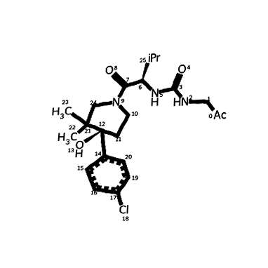 CC(=O)CNC(=O)N[C@@H](C(=O)N1CC[C@](O)(c2ccc(Cl)cc2)C(C)(C)C1)C(C)C